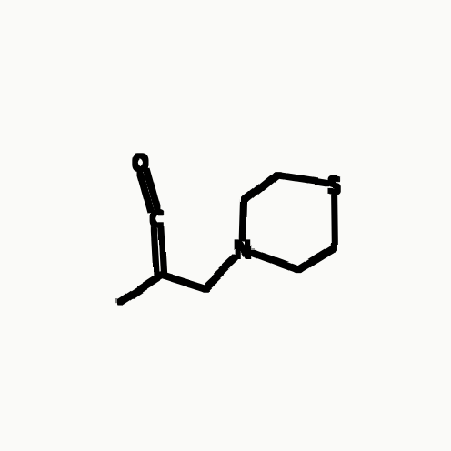 CC(=C=O)CN1CCSCC1